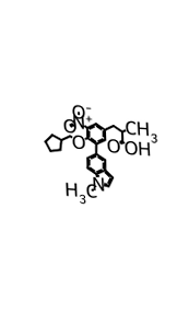 CC(Cc1cc(-c2ccc3c(ccn3C)c2)c(OCC2CCCC2)c([N+](=O)[O-])c1)C(=O)O